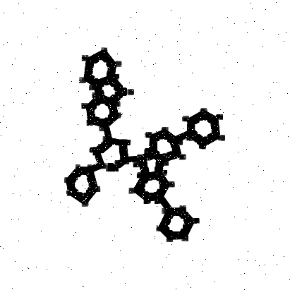 CCC(C)/C(=N\C(=N/Cc1ccccc1)c1ccc2c(c1)oc1ccccc12)n1c2ccc(-c3ccccc3)cc2c2cc(-c3ccccc3)ccc21